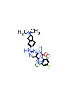 CN(C)C1Cc2ccc(Nc3ncc4c(=N)n(-c5c(Cl)cc(F)cc5Cl)c(=O)[nH]c4n3)cc2C1